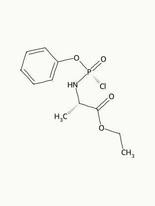 CCOC(=O)[C@H](C)N[P@@](=O)(Cl)Oc1ccccc1